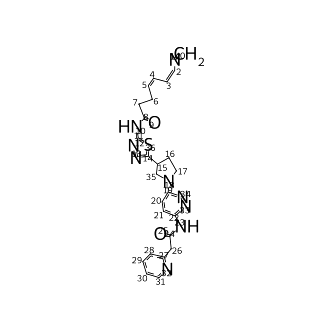 C=N/C=C\C=C/CCC(=O)Nc1nnc(C2CCN(c3ccc(NC(=O)Cc4ccccn4)nn3)C2)s1